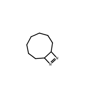 C1CCC[C]2N=NC2CCC1